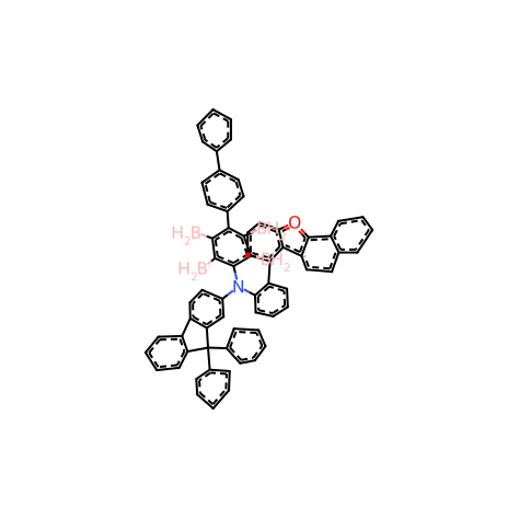 Bc1c(B)c(N(c2ccc3c(c2)C(c2ccccc2)(c2ccccc2)c2ccccc2-3)c2ccccc2-c2cccc3oc4c5ccccc5ccc4c23)c(B)c(B)c1-c1ccc(-c2ccccc2)cc1